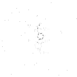 CCCCCCN1CCC(C)(c2cccc(NP(=O)(SC)SC)c2)C(C)C1